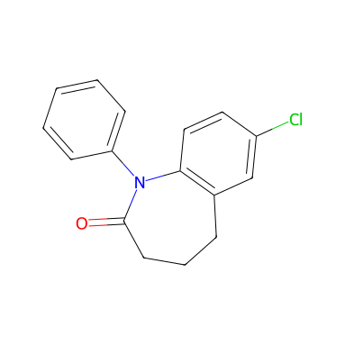 O=C1CCCc2cc(Cl)ccc2N1c1ccccc1